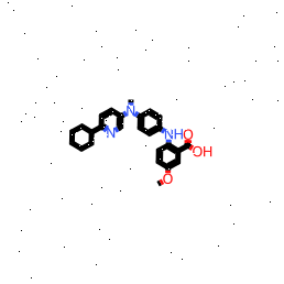 COc1ccc(Nc2ccc(N(C)c3ccc(C4CCCCC4)nc3)cc2)c(C(=O)O)c1